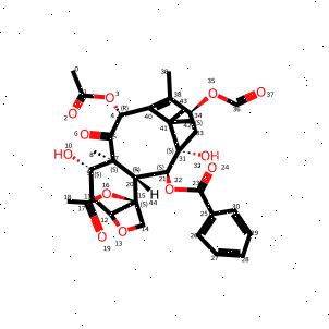 CC(=O)O[C@H]1C(=O)[C@]2(C)[C@@H](O)CC3OC[C@@]3(OC(C)=O)[C@H]2[C@H](OC(=O)c2ccccc2)[C@]2(O)C[C@H](OC=O)C(C)=C1C2(C)C